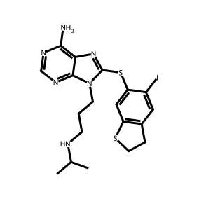 CC(C)NCCCn1c(Sc2cc3c(cc2I)CCS3)nc2c(N)ncnc21